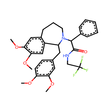 COc1ccc(CC2c3cc(OC)c(OC)cc3CCCN2C(C(=O)NCC(F)(F)F)c2ccccc2)cc1OC